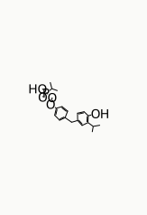 CC(C)c1cc(Cc2ccc(OOP(=O)(O)C(C)C)cc2)ccc1O